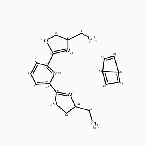 CCC1COC(c2cccc(C3=NC(CC)CO3)n2)=N1.c1cc2ccc1-2